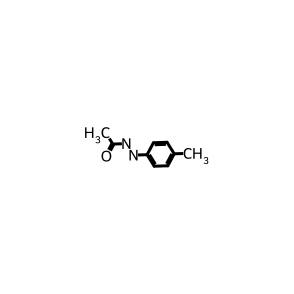 CC(=O)N=Nc1ccc(C)cc1